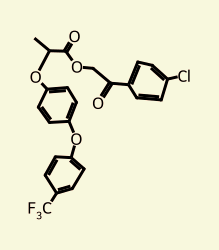 CC(Oc1ccc(Oc2ccc(C(F)(F)F)cc2)cc1)C(=O)OCC(=O)c1ccc(Cl)cc1